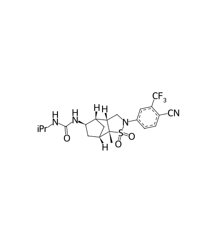 CC(C)NC(=O)N[C@@H]1C[C@@H]2C[C@H]1[C@@H]1CN(c3ccc(C#N)c(C(F)(F)F)c3)S(=O)(=O)[C@]21C